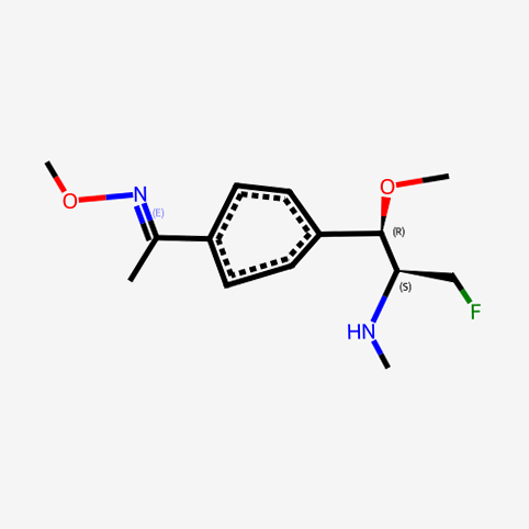 CN[C@H](CF)[C@H](OC)c1ccc(/C(C)=N/OC)cc1